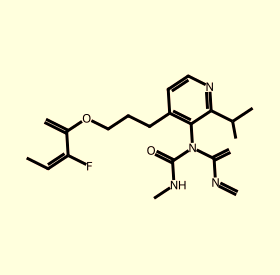 C=NC(=C)N(C(=O)NC)c1c(CCCOC(=C)/C(F)=C\C)ccnc1C(C)C